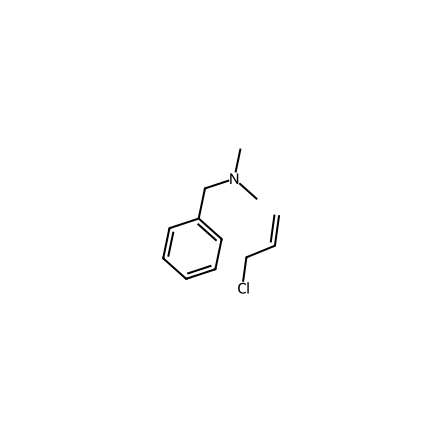 C=CCCl.CN(C)Cc1ccccc1